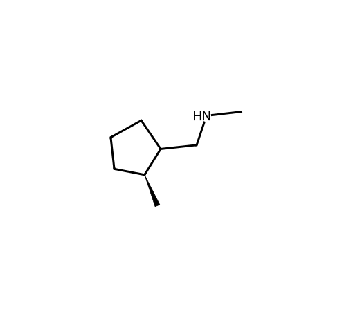 CNCC1CCC[C@@H]1C